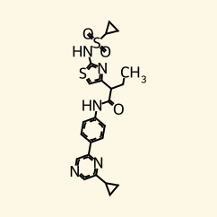 CCC(C(=O)Nc1ccc(-c2cncc(C3CC3)n2)cc1)c1csc(NS(=O)(=O)C2CC2)n1